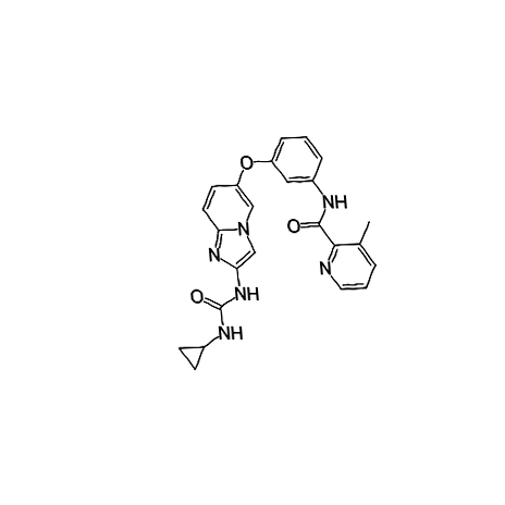 Cc1cccnc1C(=O)Nc1cccc(Oc2ccc3nc(NC(=O)NC4CC4)cn3c2)c1